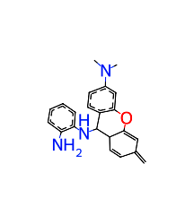 C=C1C=CC2C(=C1)Oc1cc(N(C)C)ccc1C2Nc1ccccc1N